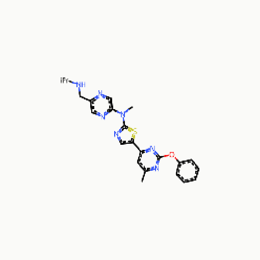 Cc1cc(-c2cnc(N(C)c3cnc(CNC(C)C)cn3)s2)nc(Oc2ccccc2)n1